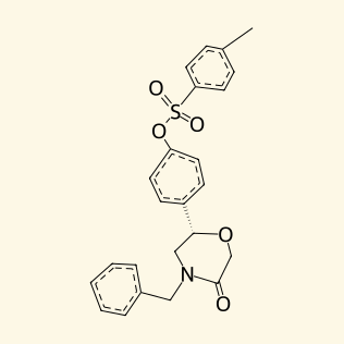 Cc1ccc(S(=O)(=O)Oc2ccc([C@H]3CN(Cc4ccccc4)C(=O)CO3)cc2)cc1